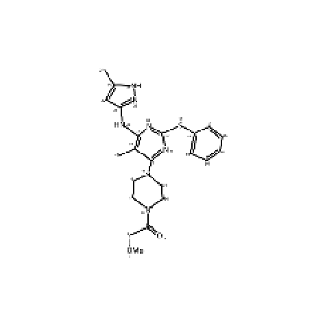 COCC(=O)N1CCN(c2nc(Sc3ccccc3)nc(Nc3cc(C)[nH]n3)c2C)CC1